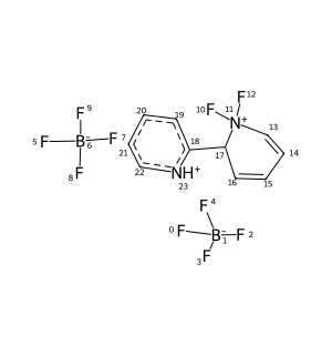 F[B-](F)(F)F.F[B-](F)(F)F.F[N+]1(F)C=CC=CC1c1cccc[nH+]1